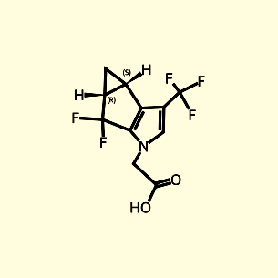 O=C(O)Cn1cc(C(F)(F)F)c2c1C(F)(F)[C@@H]1C[C@H]21